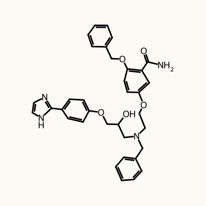 NC(=O)c1cc(OCCN(Cc2ccccc2)CC(O)COc2ccc(-c3ncc[nH]3)cc2)ccc1OCc1ccccc1